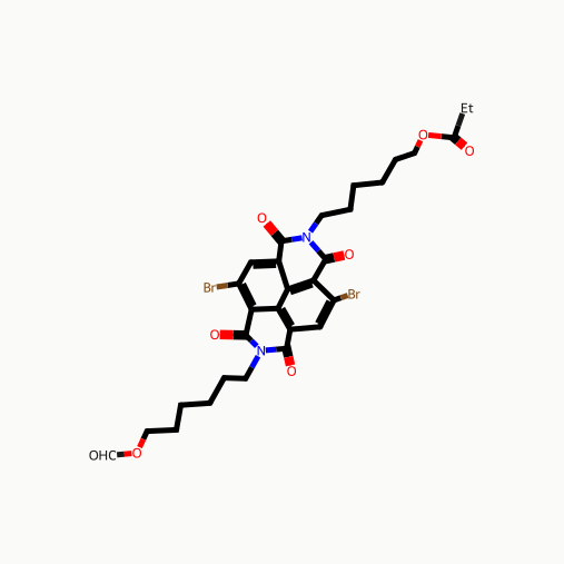 CCC(=O)OCCCCCCN1C(=O)c2cc(Br)c3c4c(cc(Br)c(c24)C1=O)C(=O)N(CCCCCCOC=O)C3=O